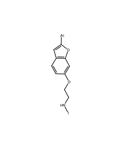 CC(=O)c1cc2ccc(OCCNI)cc2o1